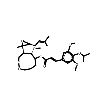 COc1cc(/C=C/C(=O)OC2CCCOCC[C@@H](C3(C)O[C@H]3CC=C(C)C)[C@@H]2OC)cc(OC)c1OC(C)C